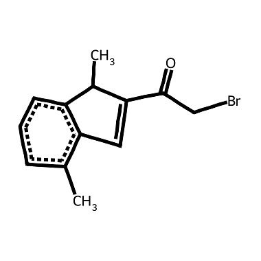 Cc1cccc2c1C=C(C(=O)CBr)C2C